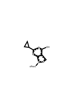 CCCCCn1ncc2c(O)nc(C3CC3)nc21